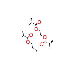 C=C(C)C(=O)OCCCC.C=C(C)C(=O)OCCOC(=O)C(=C)C